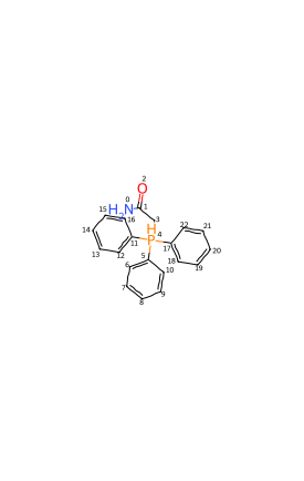 NC(=O)C[PH](c1ccccc1)(c1ccccc1)c1ccccc1